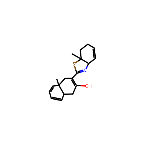 CC12C=CC=CC1CC(O)=C(C1=NC3C=CCCC3(C)S1)C2